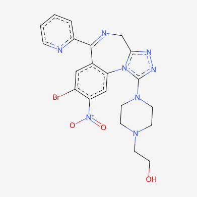 O=[N+]([O-])c1cc2c(cc1Br)C(c1ccccn1)=NCc1nnc(N3CCN(CCO)CC3)n1-2